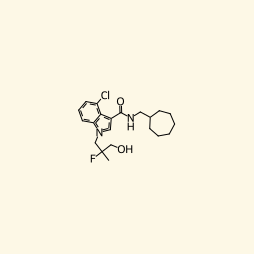 CC(F)(CO)Cn1cc(C(=O)NCC2CCCCCC2)c2c(Cl)cccc21